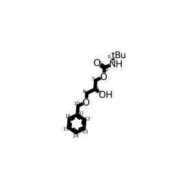 CC(C)(C)NC(=O)OCC(O)COCc1ccccc1